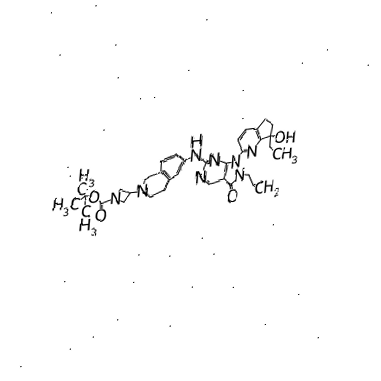 C=CCn1c(=O)c2cnc(Nc3ccc4c(c3)CCN(C3CN(C(=O)OC(C)(C)C)C3)C4)nc2n1-c1ccc2c(n1)[C@@](O)(CC)CC2